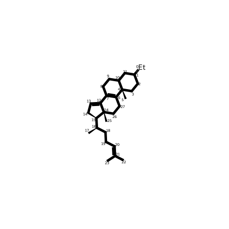 CCC1CC[C@]2(C)C3=C(CCC2C1)C1=CC[C@H]([C@H](C)CCC=C(C)C)[C@@]1(C)CC3